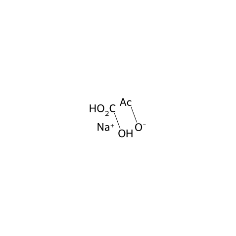 CC(=O)[O-].O=C(O)O.[Na+]